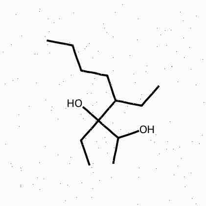 CCCCC(CC)C(O)(CC)C(C)O